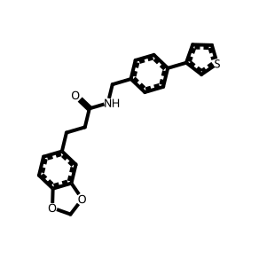 O=C(CCc1ccc2c(c1)OCO2)NCc1ccc(-c2ccsc2)cc1